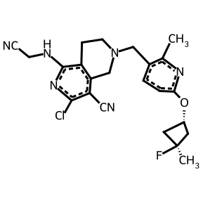 Cc1nc(O[C@H]2C[C@](C)(F)C2)ccc1CN1CCc2c(NCC#N)nc(Cl)c(C#N)c2C1